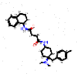 Cc1ccc(CC2(N(C)C)CCC(NC(=O)CCC(=O)NC3CCCc4ccccc43)CC2)cc1